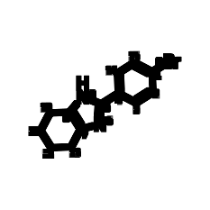 Brc1ccc(-c2nc3c([nH]2)CCCC3)cc1